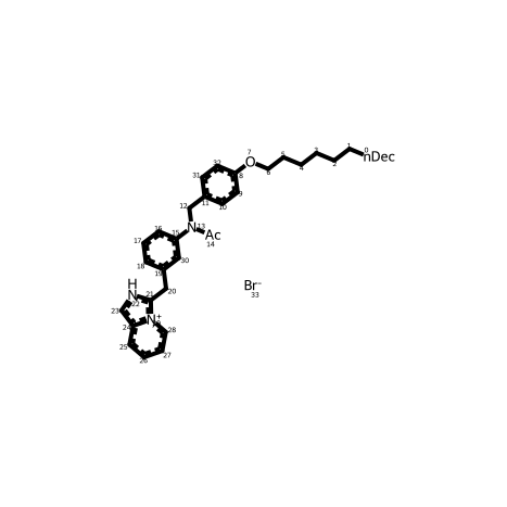 CCCCCCCCCCCCCCCCOc1ccc(CN(C(C)=O)c2cccc(Cc3[nH]cc4cccc[n+]34)c2)cc1.[Br-]